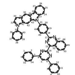 c1ccc(-c2cc(-c3ccccc3)nc(-c3nc(-c4ccc(-n5c6ccccc6c6cc7ccn(-c8ccccc8)c7cc65)cc4)nc4ccccc34)n2)cc1